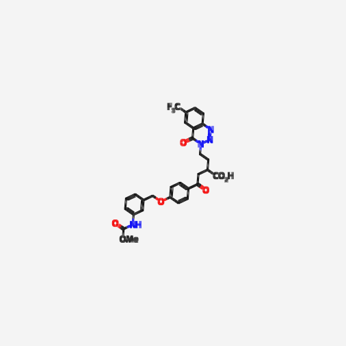 COC(=O)Nc1cccc(COc2ccc(C(=O)CC(CCn3nnc4ccc(C(F)(F)F)cc4c3=O)C(=O)O)cc2)c1